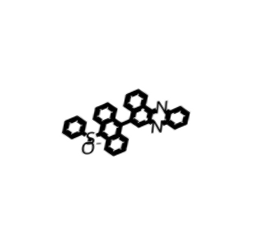 [O-][S+](c1ccccc1)c1c2ccccc2c(-c2cc3nc4ccccc4nc3c3ccccc23)c2ccccc12